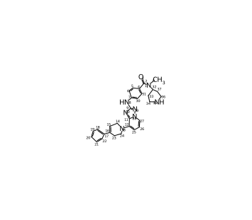 CN(C(=O)c1ccc(Nc2nc3c(N4CC=C(c5ccccc5)CC4)cccn3n2)cc1)C1CCNCC1